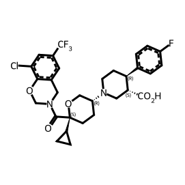 O=C(O)[C@@H]1CN([C@@H]2CC[C@@](C(=O)N3COc4c(Cl)cc(C(F)(F)F)cc4C3)(C3CC3)OC2)CC[C@H]1c1ccc(F)cc1